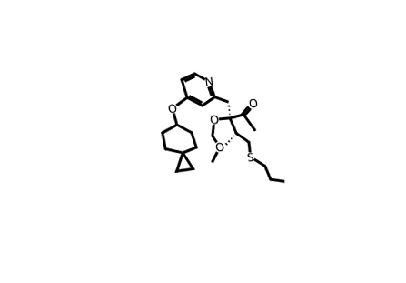 CCCSC[C@H](C)[C@@](Cc1cc(OC2CCC3(CC2)CC3)ccn1)(OCOC)C(C)=O